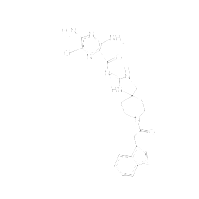 Nc1nc(N)c(C(=O)/N=C2\NCC3(CCN(C(=O)Cc4csc5ccccc45)CC3)N2)nc1Cl